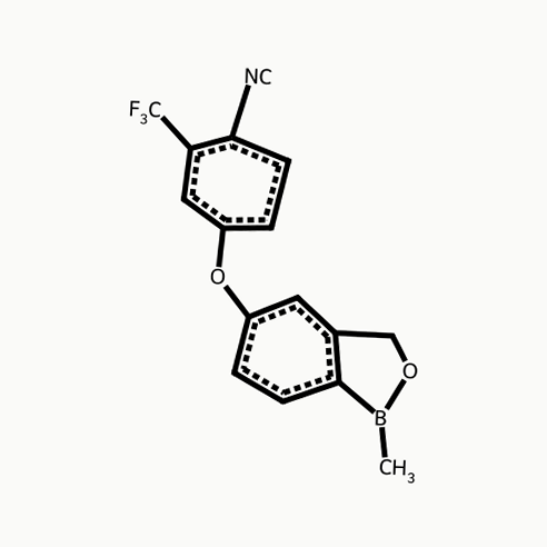 [C-]#[N+]c1ccc(Oc2ccc3c(c2)COB3C)cc1C(F)(F)F